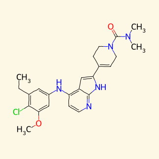 CCc1cc(Nc2ccnc3[nH]c(C4=CCN(C(=O)N(C)C)CC4)cc23)cc(OC)c1Cl